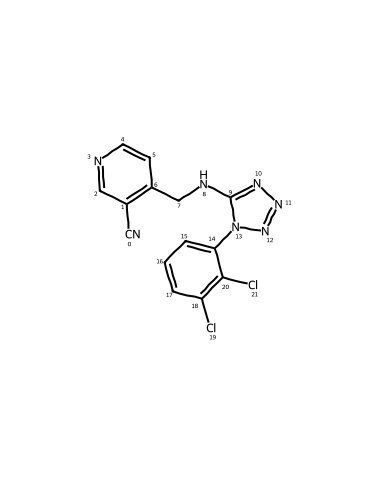 N#Cc1cnccc1CNc1nnnn1-c1cccc(Cl)c1Cl